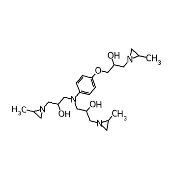 CC1CN1CC(O)COc1ccc(N(CC(O)CN2CC2C)CC(O)CN2CC2C)cc1